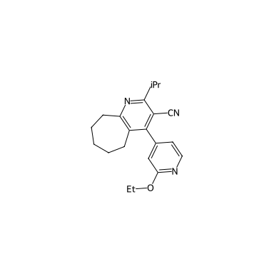 CCOc1cc(-c2c(C#N)c(C(C)C)nc3c2CCCCC3)ccn1